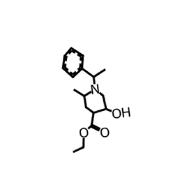 CCOC(=O)C1CC(C)N(C(C)c2ccccc2)CC1O